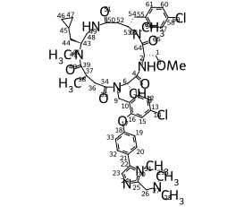 COC[C@@H]1NC(=O)[C@H](C)N(Cc2ccc(Cl)cc2Oc2ccc(-c3cnc(CN(C)C)n3C)cc2)C(=O)C[C@@H](C)C(=O)N(C)[C@@H](CC2CC2)CNC(=O)C[C@H](Cc2ccc(Cl)cc2)N(C)C1=O